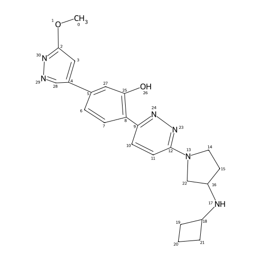 COc1cc(-c2ccc(-c3ccc(N4CCC(NC5CCC5)C4)nn3)c(O)c2)cnn1